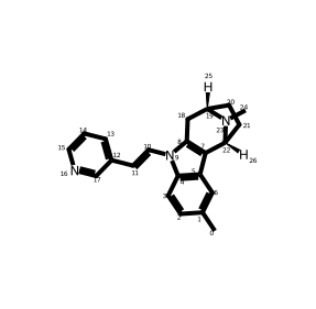 Cc1ccc2c(c1)c1c(n2/C=C/c2cccnc2)C[C@@H]2CC[C@H]1N2C